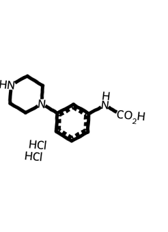 Cl.Cl.O=C(O)Nc1cccc(N2CCNCC2)c1